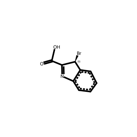 O=C(O)C1=Nc2ccccc2[C@@H]1Br